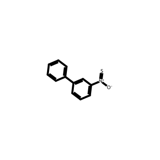 [O-][N+](=S)c1cccc(-c2ccccc2)c1